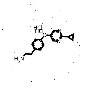 Cl.Cl.NCCc1ccc(Oc2cnc(C3CC3)nc2)cc1